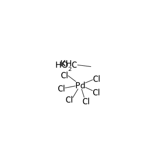 CC(=O)O.[Cl][Pd]([Cl])([Cl])([Cl])([Cl])[Cl].[KH]